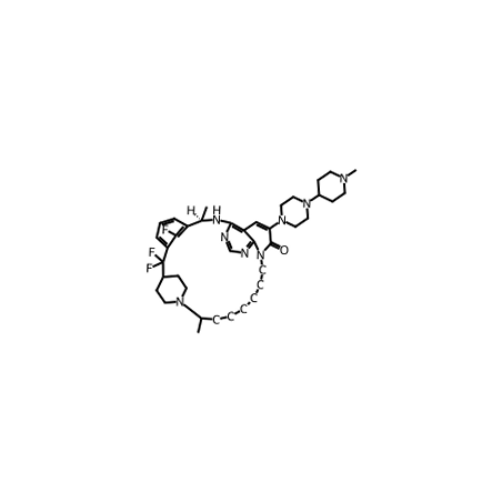 CC1CCCCCCn2c(=O)c(N3CCN(C4CCN(C)CC4)CC3)cc3c(ncnc32)N[C@H](C)c2cccc(c2F)C(F)(F)C2CCN1CC2